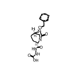 O=C(O)NNC(=O)[C@@H]1CC[C@@H]2CN1C(=O)N2OCc1ccccc1